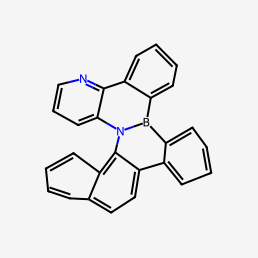 c1ccc2c(c1)B1c3ccccc3-c3ncccc3N1c1c-2ccc2ccccc12